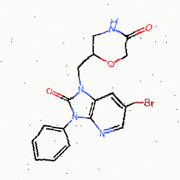 O=C1COC(Cn2c(=O)n(-c3ccccc3)c3ncc(Br)cc32)CN1